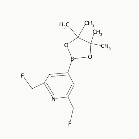 CC1(C)OB(c2cc(CF)nc(CF)c2)OC1(C)C